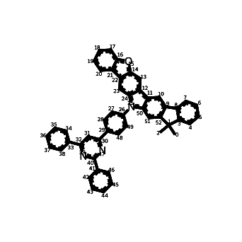 CC1(C)c2ccccc2-c2cc3c4cc5oc6ccccc6c5cc4n(-c4ccc(-c5cc(-c6ccccc6)nc(-c6ccccc6)n5)cc4)c3cc21